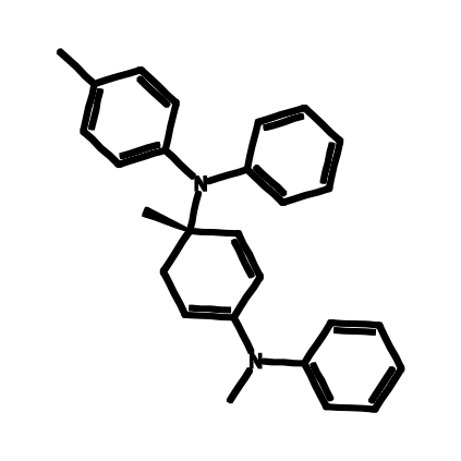 Cc1ccc(N(c2ccccc2)[C@]2(C)C=CC(N(C)c3ccccc3)=CC2)cc1